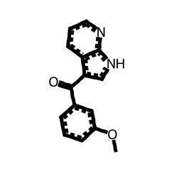 COc1cccc(C(=O)c2c[nH]c3ncccc23)c1